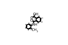 Cc1ccccc1NC(=O)c1ccccc1C(=O)O